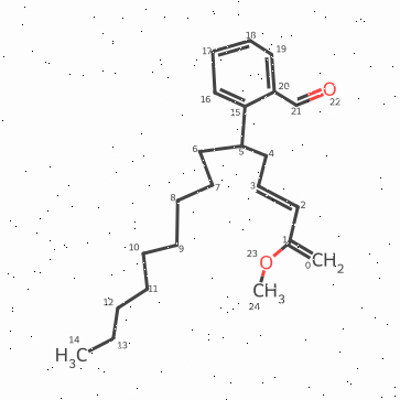 C=C(C=CCC(CCCCCCCCC)c1ccccc1C=O)OC